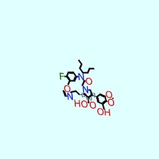 CCCC(CCC)N(C(=O)CN1C[C@H](c2cc(CO)c3c(c2)OCO3)[C@@H](C(=O)O)[C@@H]1CCc1ncco1)c1ccc(F)c(C)c1